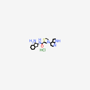 Cl.N[C@H]1c2ccccc2C[C@H]1NC(=O)C1=CN(c2ccnc3[nH]ccc23)CCS1